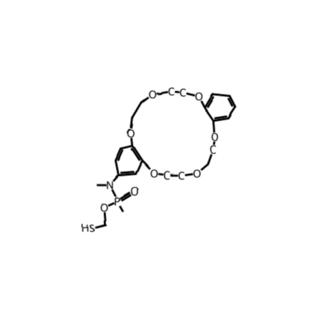 CN(c1ccc2c(c1)OCCOCCOc1ccccc1OCCOCCO2)P(C)(=O)OCS